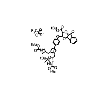 CC(C)(C)OC(=O)NC[C@@H](Cn1cc(-c2ccc(OC[C@H](ON3C(=O)c4ccccc4C3=O)C(=O)OC(C)(C)C)cc2)c[n+]1CC1CN(C(=O)OC(C)(C)C)C1)O[Si](C)(C)C(C)(C)C.O=S(=O)([O-])C(F)(F)F